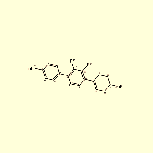 CCCc1ccc(-c2ccc(C3=CCC(CCC)CC3)c(F)c2F)cc1